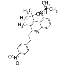 Cc1c(CCc2ccc([N+](=O)[O-])cc2)nc2cccc(O[SiH](C)C)c2c1C(C)(C)C